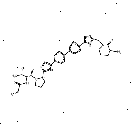 COC(=O)NC(C(=O)N1CCC[C@H]1c1ncc(-c2ccc(-c3ccc(-c4cnc(CN5CCCC(N)C5=O)[nH]4)cc3)cc2)[nH]1)C(C)C